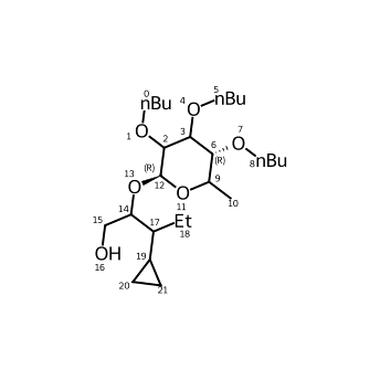 CCCCOC1C(OCCCC)[C@H](OCCCC)C(C)O[C@H]1OC(CO)C(CC)C1CC1